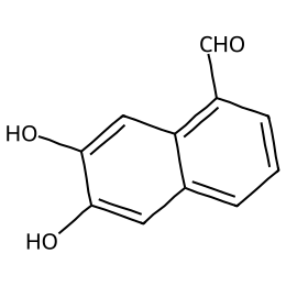 O=Cc1cccc2cc(O)c(O)cc12